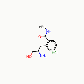 CCCCNC(=O)c1ccccc1C[C@@H](N)CO.Cl